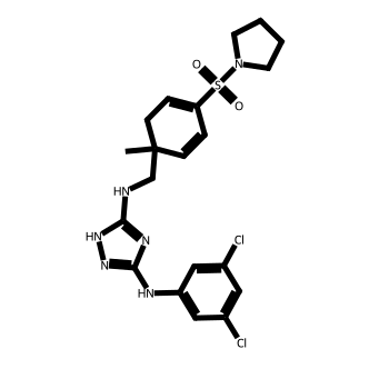 CC1(CNc2nc(Nc3cc(Cl)cc(Cl)c3)n[nH]2)C=CC(S(=O)(=O)N2CCCC2)=CC1